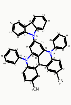 N#Cc1ccc2c(c1)B1c3cc(C#N)ccc3N(c3ccccc3)c3cc(-n4c5ccccc5c5ccccc54)cc(c31)N2c1ccccc1